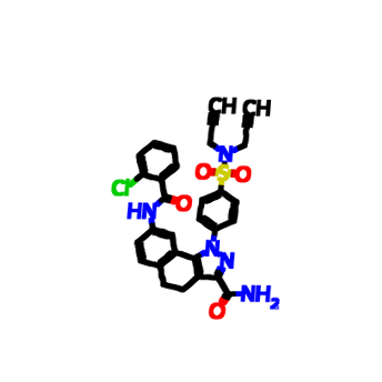 C#CCN(CC#C)S(=O)(=O)c1ccc(-n2nc(C(N)=O)c3c2-c2cc(NC(=O)c4ccccc4Cl)ccc2CC3)cc1